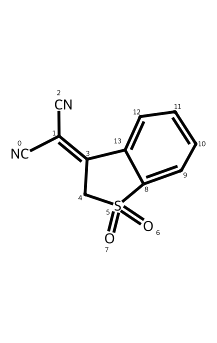 N#CC(C#N)=C1CS(=O)(=O)c2ccccc21